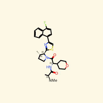 CN[C@@H](C)C(=O)N[C@H](C(=O)N1CC[C@H](C)[C@H]1c1nc(-c2ccc(F)c3ccccc23)cs1)C1CCOCC1